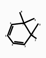 CC1(C)C=CC=CC1(C)C